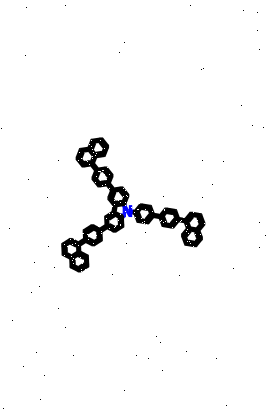 c1ccc2c(-c3ccc(-c4ccc(-n5c6ccc(-c7ccc(-c8cccc9ccccc89)cc7)cc6c6cc(-c7ccc(-c8cccc9ccccc89)cc7)ccc65)cc4)cc3)cccc2c1